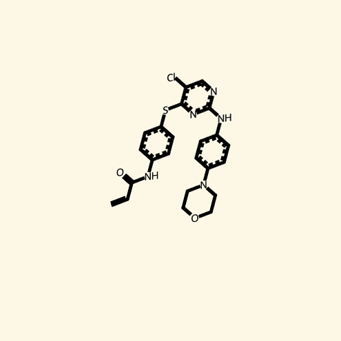 C=CC(=O)Nc1ccc(Sc2nc(Nc3ccc(N4CCOCC4)cc3)ncc2Cl)cc1